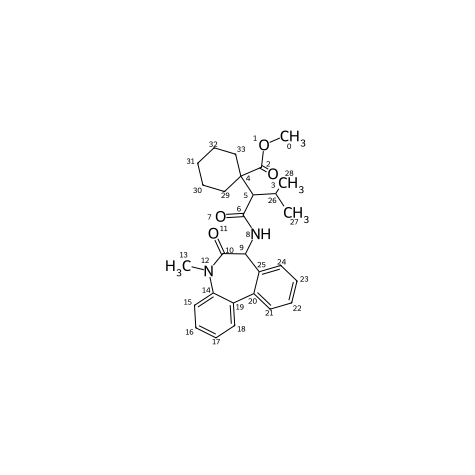 COC(=O)C1(C(C(=O)NC2C(=O)N(C)c3ccccc3-c3ccccc32)C(C)C)CCCCC1